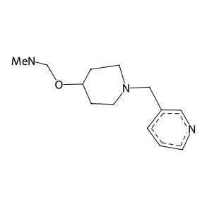 CNCOC1CCN(Cc2cccnc2)CC1